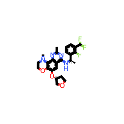 Cc1nc(N[C@H](C)c2cccc(C(F)F)c2F)c2cc(O[C@@H]3CCOC3)c3c(c2n1)N(C)CCO3